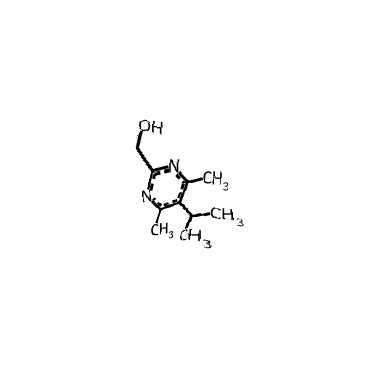 Cc1nc(CO)nc(C)c1C(C)C